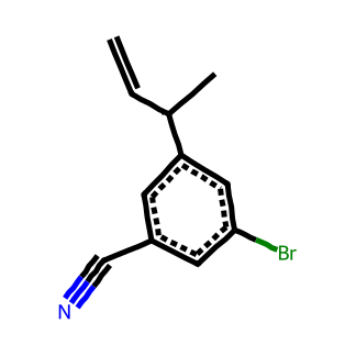 C=C[C](C)c1cc(Br)cc(C#N)c1